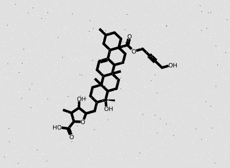 CC1CCC2(C(=O)OCC#CCO)CCC3C(=CCC4C3(C)CCC3C4(C)CCC(CC4OC(C(=O)O)C(C)C4O)[C@@]3(C)O)C2C1